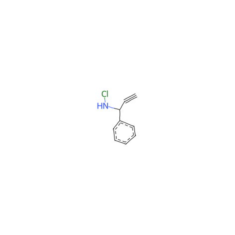 C#CC(NCl)c1ccccc1